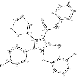 Cc1cccc(Cn2c(-c3ccc(F)cc3)c(C3=CC=CCC3)c(C(=O)Nc3ccccc3)c2C(C)C)c1